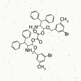 Cc1cc(Br)cc(COC(OC(=O)C(=O)OC(OCc2cc(C)cc(Br)c2)C(N)C(c2ccccc2)c2ccccc2)C(N)C(c2ccccc2)c2ccccc2)c1